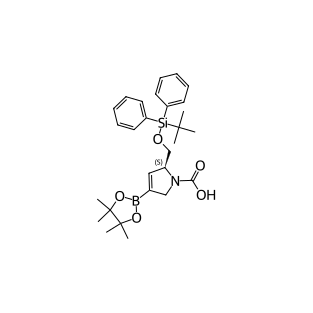 CC1(C)OB(C2=C[C@@H](CO[Si](c3ccccc3)(c3ccccc3)C(C)(C)C)N(C(=O)O)C2)OC1(C)C